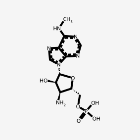 CNc1ncnc2c1ncn2[C@@H]1O[C@H](COP(=O)(O)O)[C@@H](N)[C@H]1O